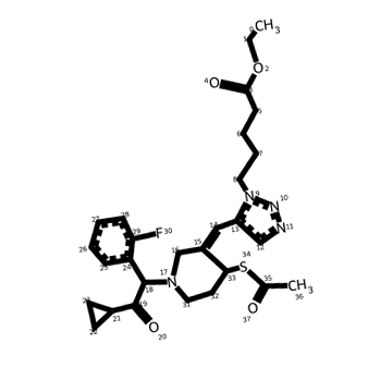 CCOC(=O)CCCCn1nncc1/C=C1/CN(C(C(=O)C2CC2)c2ccccc2F)CCC1SC(C)=O